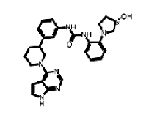 O=C(Nc1cccc(C2CCCN(c3ncnc4[nH]ccc34)C2)c1)Nc1ccccc1N1CC[C@H](O)C1